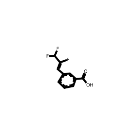 O=C(O)c1cccc(C=C(F)C(F)F)c1